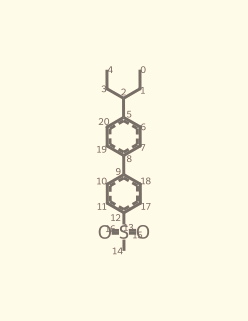 CCC(CC)c1ccc(-c2ccc(S(C)(=O)=O)cc2)cc1